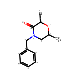 CCC1OC(C(F)(F)F)CN(Cc2ccccc2)C1=O